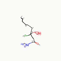 CCCCC(O)(F)C(N)=O